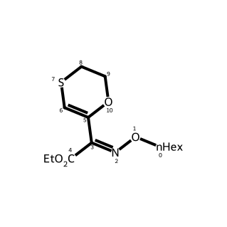 CCCCCCO/N=C(/C(=O)OCC)C1=CSCCO1